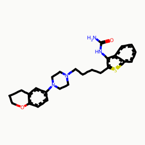 NC(=O)Nc1c(CCCCN2CCN(c3ccc4c(c3)CCCO4)CC2)sc2ccccc12